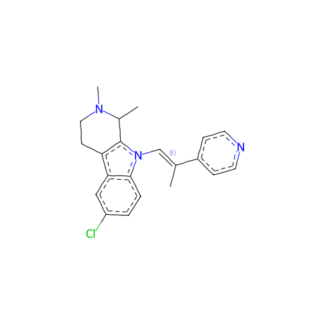 C/C(=C\n1c2c(c3cc(Cl)ccc31)CCN(C)C2C)c1ccncc1